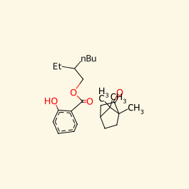 CC12CCC(CC1=O)C2(C)C.CCCCC(CC)COC(=O)c1ccccc1O